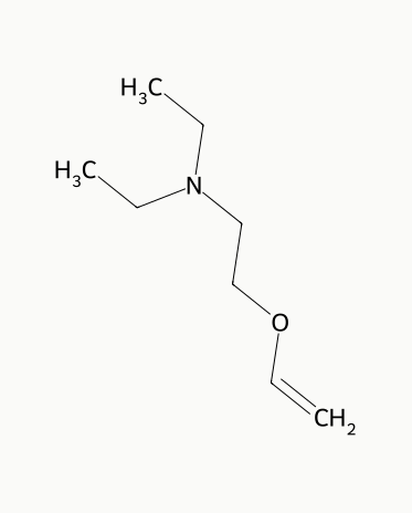 C=COCCN(CC)CC